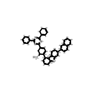 CC1CC(c2nc(C3=CC=CCC3)nc(-c3ccccc3)n2)=CC=C1c1cccc2oc3cc(-c4ccc5ccccc5c4)ccc3c12